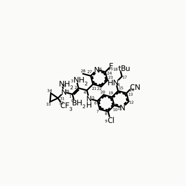 B/C(=C(/N)C(Nc1cc(Cl)c2ncc(C#N)c(NCC(C)(C)C)c2c1)c1ccc(F)nc1C)N(N)C1(C(F)(F)F)CC1